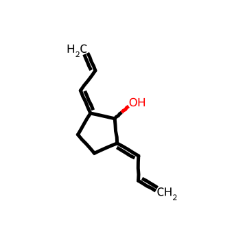 C=CC=C1CCC(=CC=C)C1O